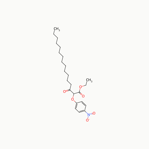 CCCCCCCCCCCCCC(=O)C(Oc1ccc([N+](=O)[O-])cc1)C(=O)OCC